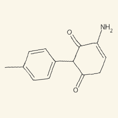 Cc1ccc(C2C(=O)CC=C(N)C2=O)cc1